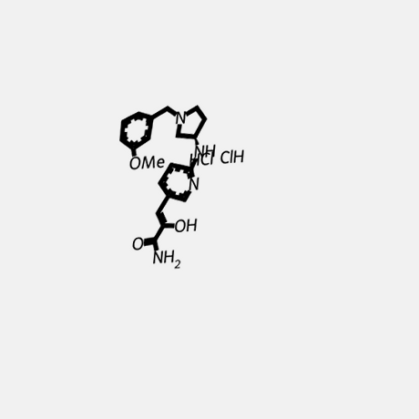 COc1cccc(CN2CC[C@@H](Nc3ccc(/C=C(\O)C(N)=O)cn3)C2)c1.Cl.Cl